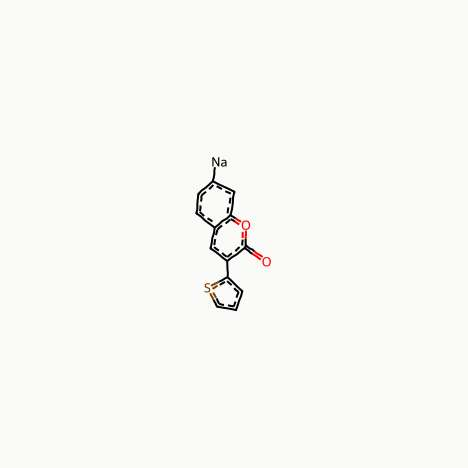 O=c1oc2c[c]([Na])ccc2cc1-c1cccs1